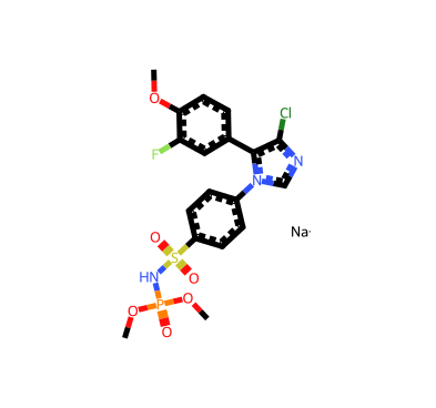 COc1ccc(-c2c(Cl)ncn2-c2ccc(S(=O)(=O)NP(=O)(OC)OC)cc2)cc1F.[Na]